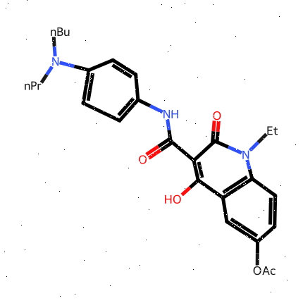 CCCCN(CCC)c1ccc(NC(=O)c2c(O)c3cc(OC(C)=O)ccc3n(CC)c2=O)cc1